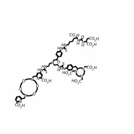 O=C(O)CC(NC(=O)NC(CCCCNC(=S)Nc1ccc(C(=O)CN(CCNC(=S)Nc2ccc(CC3CN(CC(=O)O)CCN(CC(=O)O)CCN3CC(=O)O)cc2)CCNC(=S)Nc2cc(CN3CCOCCOCCN(Cc4cccc(C(=O)O)n4)CCOCCOCC3)nc(C(=O)O)c2)cc1)C(=O)O)C(=O)O